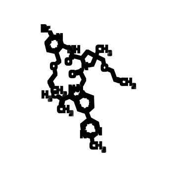 C=CCOCc1ccc(Br)nc1NC(=O)C1C[C@](C)(COCC=C)CN1C(=O)Cn1nc(C(=C)C)c2cc(-c3cnc(C)nc3)ccc21